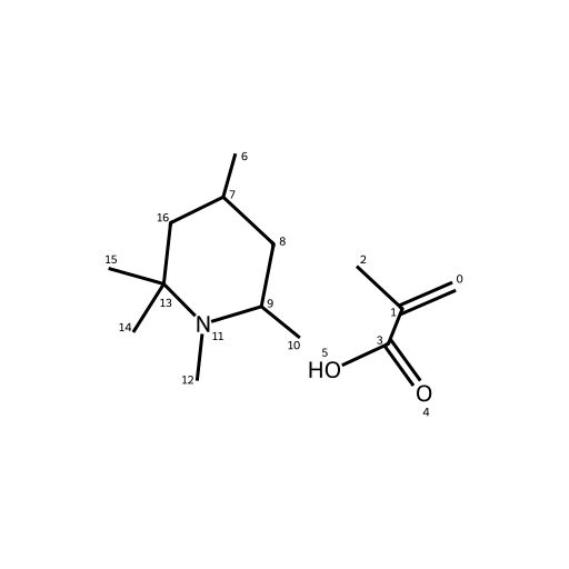 C=C(C)C(=O)O.CC1CC(C)N(C)C(C)(C)C1